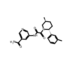 Cc1cccc([C@H]2CC[C@H](C)CN2C(=O)C(=O)Nc2cncc(C(N)=O)c2)c1